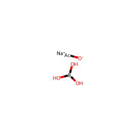 CC(=O)[O-].OB(O)O.[Na+]